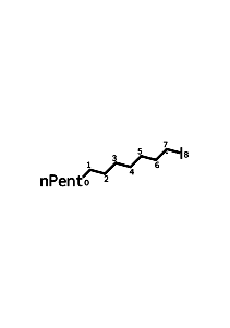 CCCCCCCCCCC[CH]I